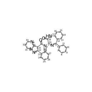 O=C(N[C@H]1N=C(c2ccccc2)c2ccccc2NC1=O)c1c(-c2ccccc2)nn2cccnc12